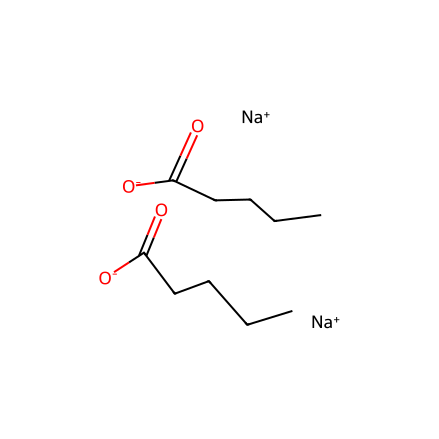 CCCCC(=O)[O-].CCCCC(=O)[O-].[Na+].[Na+]